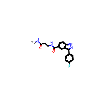 CCNC(=O)CCNC(=O)c1ccc2[nH]nc(-c3ccc(F)cc3)c2c1